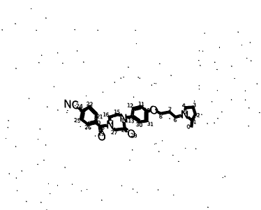 CC1CCCN1CCCOc1ccc(N2CCN(C(=O)c3ccc(C#N)cc3)CC2=O)cc1